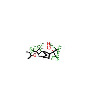 CCC(C)OC(C1CC2CC1C(C(O)(C(F)(F)F)C(F)(F)F)C2)(C(F)(F)F)C(F)(F)F